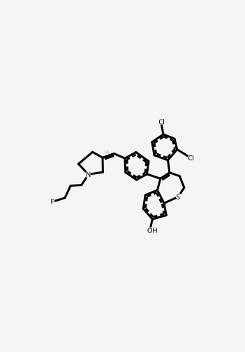 Oc1ccc2c(c1)SCCC(c1ccc(Cl)cc1Cl)=C2c1ccc(/C=C2/CCN(CCCF)C2)cc1